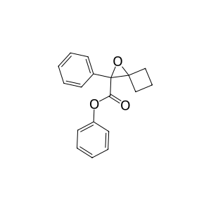 O=C(Oc1ccccc1)C1(c2ccccc2)OC12CCC2